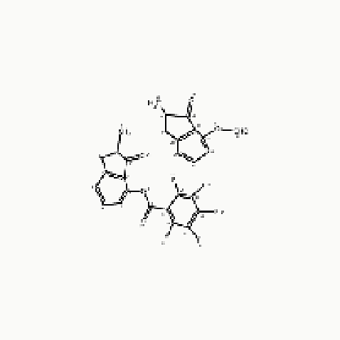 CC1Cc2cccc(OC(=O)c3c(F)c(F)c(F)c(F)c3F)c2C1=O.CC1Cc2cccc(OC=O)c2C1=O